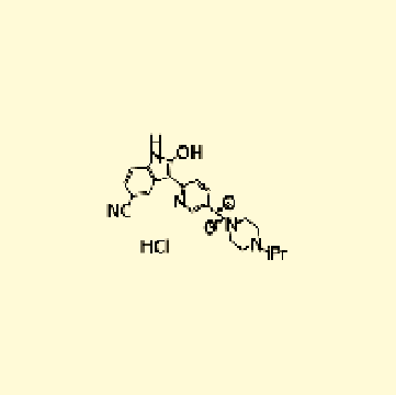 CC(C)N1CCN(S(=O)(=O)c2ccc(-c3c(O)[nH]c4ccc(C#N)cc34)nc2)CC1.Cl